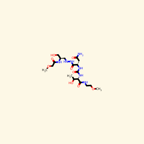 COCCNC(=O)[C@@H](NC(=O)N[C@@H](CC(N)=O)C(=O)NNC[C@H](CO)NC(=O)COC)C(C)O